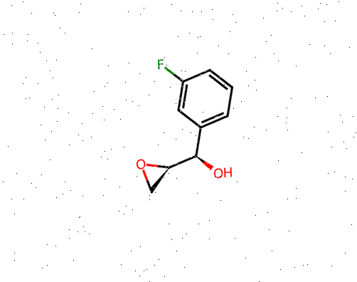 O[C@H](c1cccc(F)c1)[C@H]1CO1